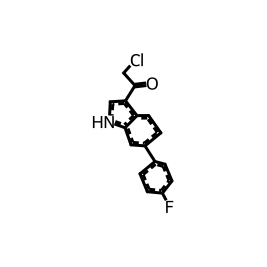 O=C(CCl)c1c[nH]c2cc(-c3ccc(F)cc3)ccc12